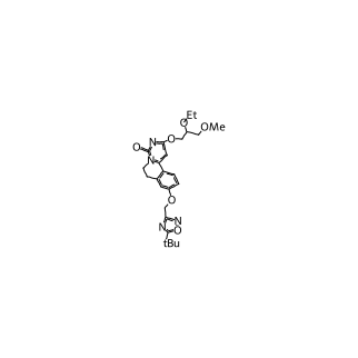 CCOC(COC)COc1cc2n(c(=O)n1)CCc1cc(OCc3noc(C(C)(C)C)n3)ccc1-2